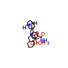 CC(CO)(CO)C(=O)N(CCN1[C@@H]2CC[C@H]1C[C@@H](c1cccc(C(N)=O)c1)C2)CC1CCCCC1